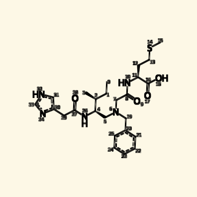 CC[C@H](C)[C@@H](CN(CC(=O)N[C@@H](CCSC)C(=O)O)Cc1ccccc1)NC(=O)Cc1c[nH]cn1